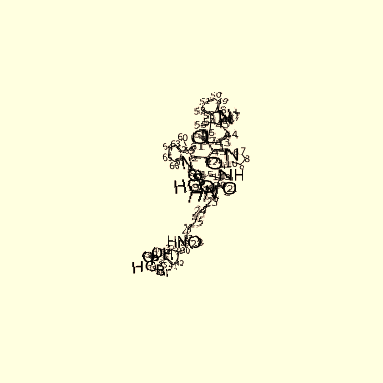 CN1/C(=C/C2=C(N3CCC[C@@H]3C(=O)NC(CS(=O)(=O)O)C(=O)NCCCCC(=O)NCc3ccc(C(Br)P(=O)(O)O)cc3)C(=C/C3=[N+](C)c4ccccc4C3(C)C)/C2=O)C(C)(C)c2ccccc21